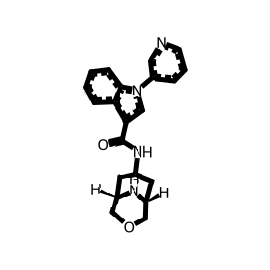 O=C(NC1C[C@H]2COC[C@@H](C1)N2)c1cn(-c2cccnc2)c2ccccc12